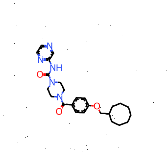 O=C(Nc1cnccn1)N1CCN(C(=O)c2ccc(OCC3CCCCCCC3)cc2)CC1